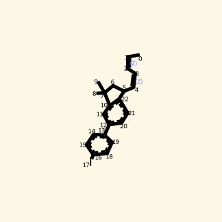 C/C=C\C=C/C1CC(C)(C)c2cc(-c3ccc(I)cc3)ccc21